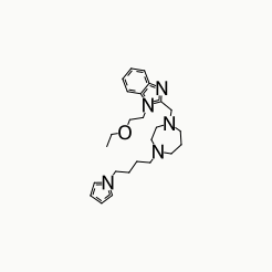 CCOCCn1c(CN2CCCN(CCCCn3cccc3)CC2)nc2ccccc21